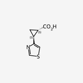 O=C(O)[C@H]1C[C@@H]1c1cscn1